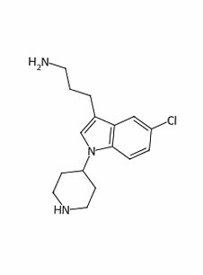 NCCCc1cn(C2CCNCC2)c2ccc(Cl)cc12